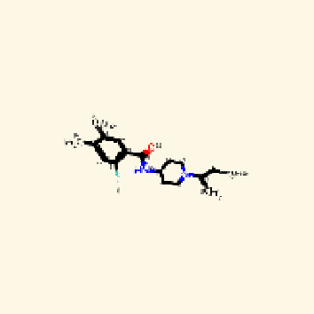 COCC(C)N1CCC(NC(=O)c2cc(OC)c(C)cc2F)CC1